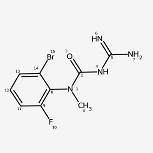 CN(C(=O)NC(=N)N)c1c(F)cccc1Br